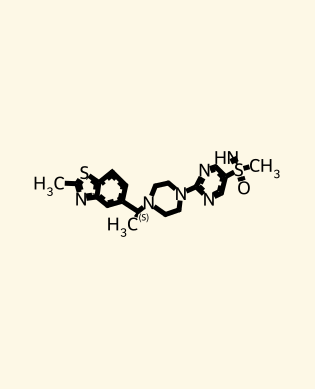 Cc1nc2cc([C@H](C)N3CCN(c4ncc(S(C)(=N)=O)cn4)CC3)ccc2s1